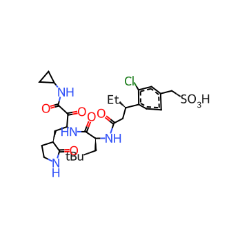 CC[C@H](CC(=O)N[C@@H](CC(C)(C)C)C(=O)NC(C[C@@H]1CCNC1=O)C(=O)C(=O)NC1CC1)c1ccc(CS(=O)(=O)O)cc1Cl